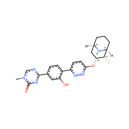 CN1[C@@H]2CCC[C@H]1[C@H](F)[C@H](Oc1ccc(-c3ccc(-c4ncn(C)c(=O)n4)cc3O)nn1)C2